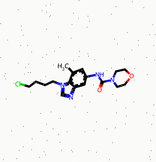 Cc1cc(NC(=O)N2CCOCC2)cc2ncn(CCCCCl)c12